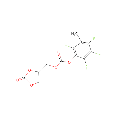 Cc1c(F)c(F)c(F)c(OC(=O)OCC2COC(=O)O2)c1F